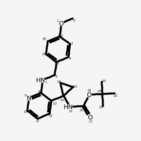 COc1ccc(CNc2ncccc2C2(NC(=O)OC(C)(C)C)CC2)cc1